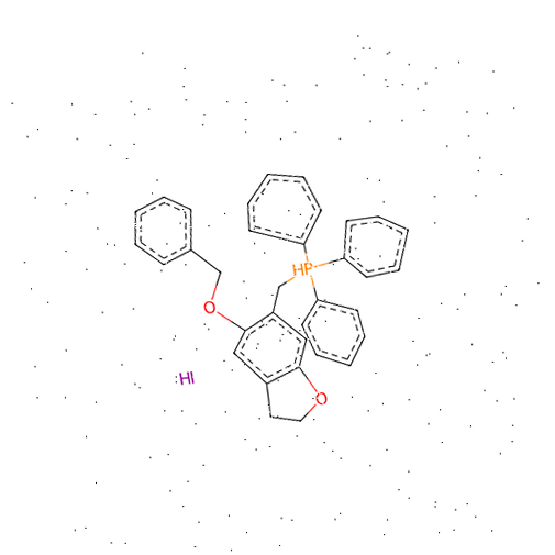 I.c1ccc(COc2cc3c(cc2C[PH](c2ccccc2)(c2ccccc2)c2ccccc2)OCC3)cc1